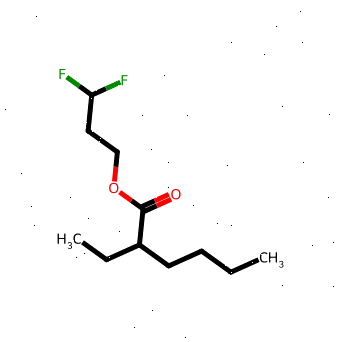 CCCCC(CC)C(=O)OCCC(F)F